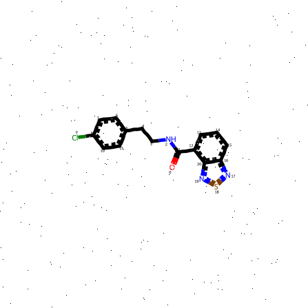 O=C(NCCc1ccc(Cl)cc1)c1cccc2nsnc12